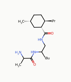 CCC(C)C(CNC(=O)[C@@H]1C[C@H](C)CC[C@H]1C(C)C)NC(=O)C(C)N